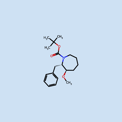 CO[C@@H]1CCCCN(C(=O)OC(C)(C)C)[C@H]1Cc1ccccc1